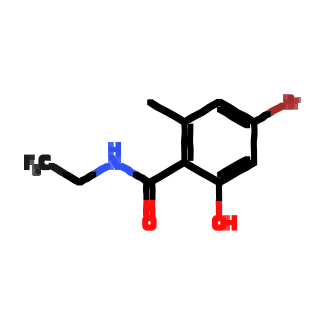 Cc1cc(Br)cc(O)c1C(=O)NCC(F)(F)F